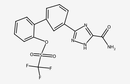 NC(=O)c1nc(-c2cccc(-c3ccccc3OS(=O)(=O)C(F)(F)F)c2)n[nH]1